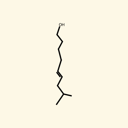 CC(C)CC=CCCCCO